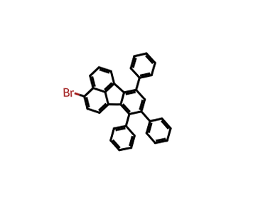 Brc1ccc2c3c(cccc13)-c1c(-c3ccccc3)cc(-c3ccccc3)c(-c3ccccc3)c1-2